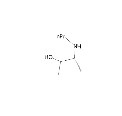 CCCN[C@H](C)C(C)O